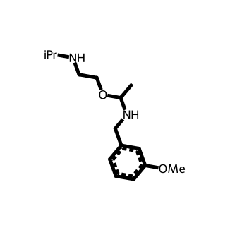 COc1cccc(CN[C](C)OCCNC(C)C)c1